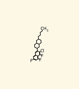 CCCCCC1CCC2CC(c3cc4cc(F)cc(F)c4c(F)c3Cl)CCC2C1